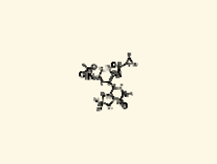 Cn1cc(-c2cc(NS(C)(=O)=O)cc3oc(C4CC4)nc23)c2c(c1=O)CC(C)(C)C2